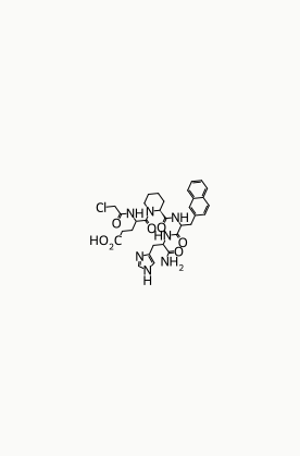 NC(=O)C(Cc1c[nH]cn1)NC(=O)C(Cc1ccc2ccccc2c1)NC(=O)[C@@H]1CCCCN1C(=O)C(CCC(=O)O)NC(=O)CCl